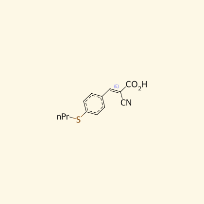 CCCSc1ccc(/C=C(\C#N)C(=O)O)cc1